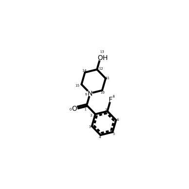 O=C(c1ccccc1F)N1CCC(O)CC1